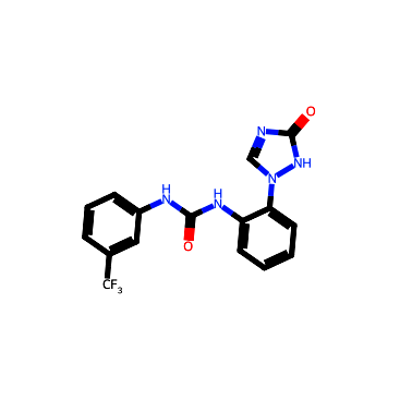 O=C(Nc1cccc(C(F)(F)F)c1)Nc1ccccc1-n1cnc(=O)[nH]1